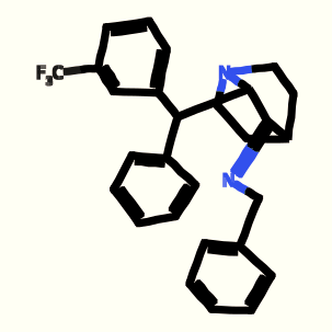 FC(F)(F)c1cccc(C(c2ccccc2)C2C(=NCc3ccccc3)C3CCN2CC3)c1